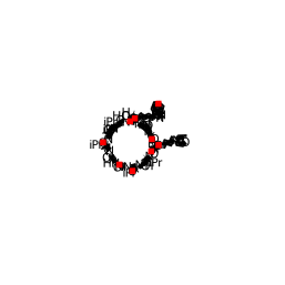 CC[C@@H]1NC(=O)[C@H]([C@H](O)[C@H](C)CCCCCn2nnc3ccccc32)NC(=O)[C@H](C(C)C)N(C)C(=O)[C@H](CC(C)C)N(C)C(=O)[C@H](CC(C)C)N(C)C(=O)[C@@H](C)NC(=O)[C@H](C)NC(=O)[C@H](CC(C)C)N(C)C(=O)[C@H](C(C)C)NC(=O)[C@H]([C@@H](C)OCCCCN2CCOCC2)N(C)C(=O)[C@@H](C)N(C)C1=O